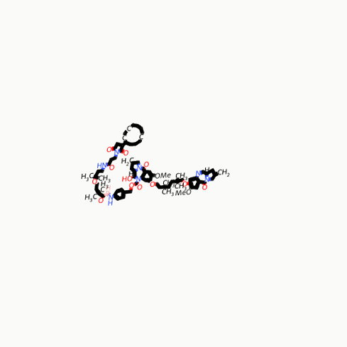 C=C1C[C@H]2C=Nc3cc(OCC(C)(C)CCC(C)(C)CCOc4cc5c(cc4OC)C(=O)N4CC(=C)C[C@H]4[C@H](O)N5C(=O)OCc4ccc(NBC(=O)C(C)(C)CCOC(C)(C)CCNC(=O)CCN5C(=O)CC(C6CCCCCCCCCCC6)C5=O)cc4)c(OC)cc3C(=O)N2C1